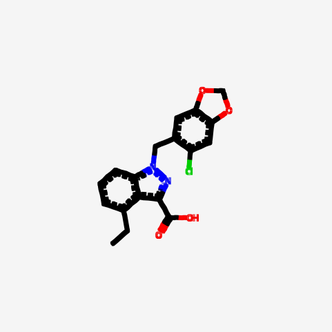 CCc1cccc2c1c(C(=O)O)nn2Cc1cc2c(cc1Cl)OCO2